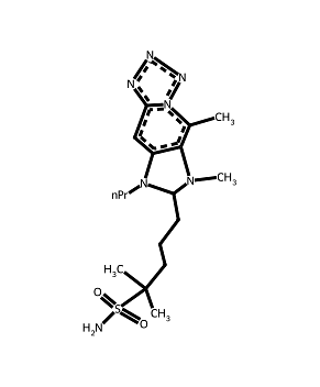 CCCN1c2cc3nnnn3c(C)c2N(C)C1CCCC(C)(C)S(N)(=O)=O